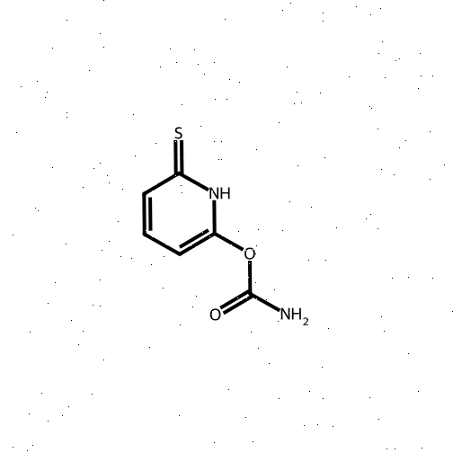 NC(=O)Oc1cccc(=S)[nH]1